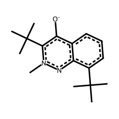 C[n+]1nc2c(C(C)(C)C)cccc2c([O-])c1C(C)(C)C